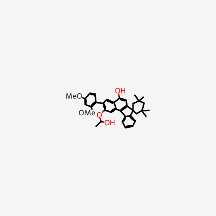 COc1ccc(-c2cc3c(O)cc4c(c3cc2OC(C)O)-c2ccccc2C42CC(C)(C)CC(C)(C)C2)c(OC)c1